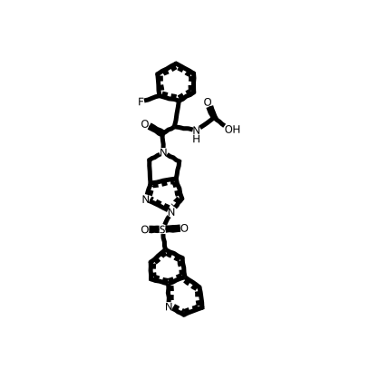 O=C(O)NC(C(=O)N1Cc2cn(S(=O)(=O)c3ccc4ncccc4c3)nc2C1)c1ccccc1F